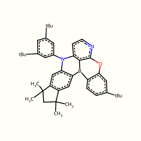 CC(C)(C)c1cc(N2c3cc4c(cc3B3c5ccc(C(C)(C)C)cc5Oc5nccc2c53)C(C)(C)CC4(C)C)cc(C(C)(C)C)c1